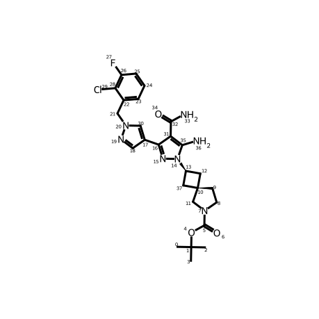 CC(C)(C)OC(=O)N1CC[C@]2(C1)C[C@H](n1nc(-c3cnn(Cc4cccc(F)c4Cl)c3)c(C(N)=O)c1N)C2